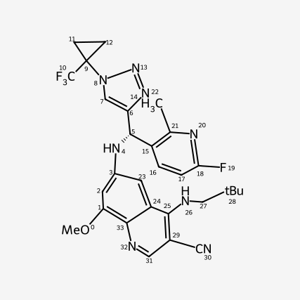 COc1cc(N[C@H](c2cn(C3(C(F)(F)F)CC3)nn2)c2ccc(F)nc2C)cc2c(NCC(C)(C)C)c(C#N)cnc12